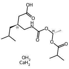 CC(C)C[C@H](CNC(=O)O[C@H](C)OC(=O)C(C)C)CC(=O)O.O.[CaH2]